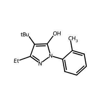 CCc1nn(-c2ccccc2C)c(O)c1C(C)(C)C